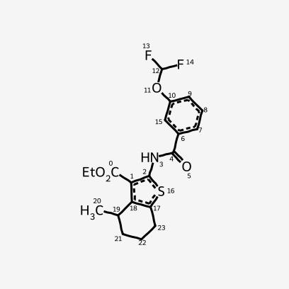 CCOC(=O)c1c(NC(=O)c2cccc(OC(F)F)c2)sc2c1C(C)CCC2